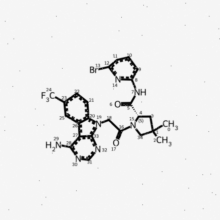 CC1(C)C[C@@H](C(=O)Nc2cccc(Br)n2)N(C(=O)Cn2c3ccc(C(F)(F)F)cc3c3c(N)ncnc32)C1